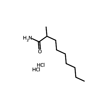 CCCCCCCC(C)C(N)=O.Cl.Cl